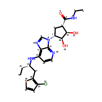 CCNC(=O)[C@H]1C[C@@H](n2cnc3c(N[C@@H](CC)Cc4sccc4Cl)ccnc32)[C@H](O)[C@@H]1O